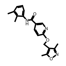 Cc1cccc(NC(=O)c2ccc(OCc3c(C)noc3C)nc2)c1C